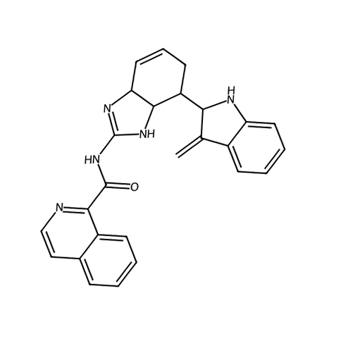 C=C1c2ccccc2NC1C1CC=CC2N=C(NC(=O)c3nccc4ccccc34)NC21